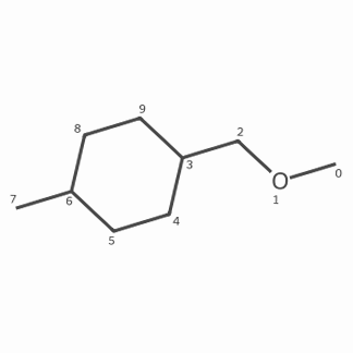 COCC1CCC(C)CC1